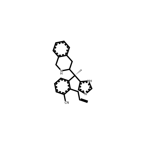 C=CCc1c(C#N)cccc1[C@](C)(c1cnc[nH]1)C1Cc2ccccc2CN1